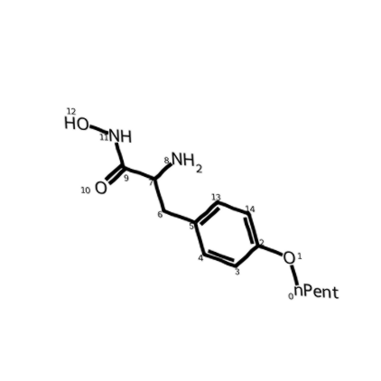 CCCCCOc1ccc(CC(N)C(=O)NO)cc1